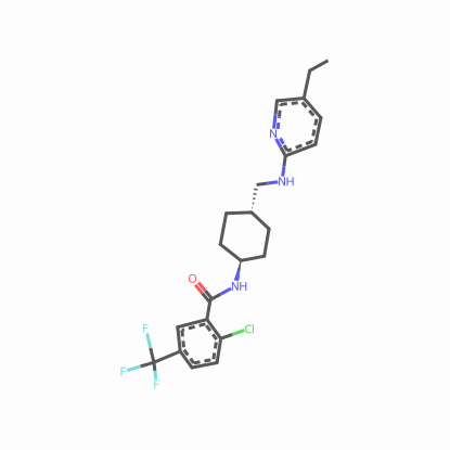 CCc1ccc(NC[C@H]2CC[C@H](NC(=O)c3cc(C(F)(F)F)ccc3Cl)CC2)nc1